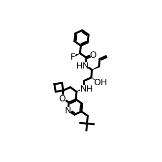 C=CC[C@H](NC(=O)[C@@H](F)c1ccccc1)[C@H](O)CN[C@H]1CC2(CCC2)Oc2ncc(CC(C)(C)C)cc21